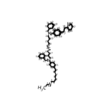 CC/N=C/C=C\C=C\C=C\c1ccc(N(CCCCSSCCCCN(Cc2ccccc2)c2ccc(/C=C/c3ccccn3)cc2)Cc2ccccc2)cc1